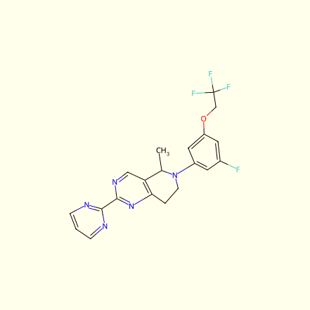 CC1c2cnc(-c3ncccn3)nc2CCN1c1cc(F)cc(OCC(F)(F)F)c1